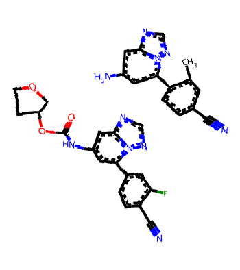 Cc1cc(C#N)ccc1-c1cc(N)cc2ncnn12.N#Cc1ccc(-c2cc(NC(=O)OC3CCOC3)cc3ncnn23)cc1F